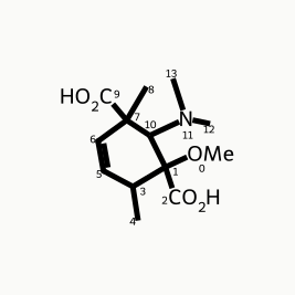 COC1(C(=O)O)C(C)C=CC(C)(C(=O)O)C1N(C)C